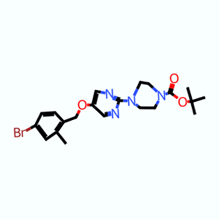 Cc1cc(Br)ccc1COc1cnc(N2CCN(C(=O)OC(C)(C)C)CC2)nc1